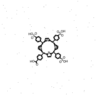 O=C(O)c1ccc(-c2c3nc(c(-c4ccc(S(=O)(=O)O)cc4)c4ccc([nH]4)c(-c4ccc(S(=O)(=O)O)cc4)c4nc(c(-c5ccc(S(=O)(=O)O)cc5)c5ccc2[nH]5)C=C4)C=C3)cc1